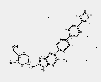 OC[C@H]1OC[C@H](Oc2nc3cc(-c4ccc(-c5ccc(-c6nccs6)cc5)cc4)c(Cl)cc3[nH]2)C[C@@H]1O